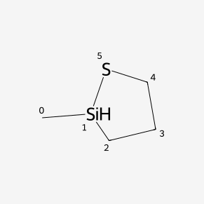 C[SiH]1CCCS1